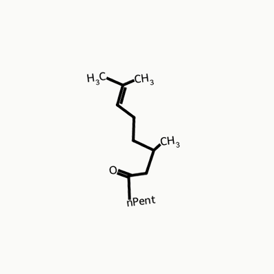 CCCCCC(=O)CC(C)CCC=C(C)C